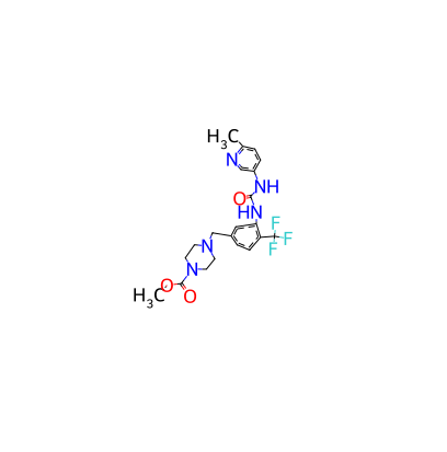 COC(=O)N1CCN(Cc2ccc(C(F)(F)F)c(NC(=O)Nc3ccc(C)nc3)c2)CC1